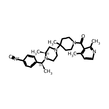 [C-]#[N+]c1ccc([C@H](C)N2CCN(C3(C)CCN(C(=O)c4c(C)ccnc4C)CC3)C[C@@H]2C)cc1